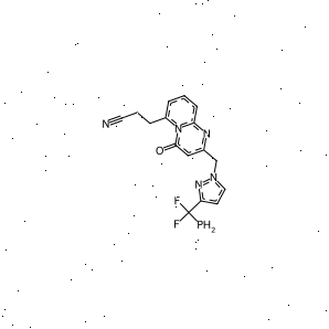 N#CCCc1cccc2nc(Cn3ccc(C(F)(F)P)n3)cc(=O)n12